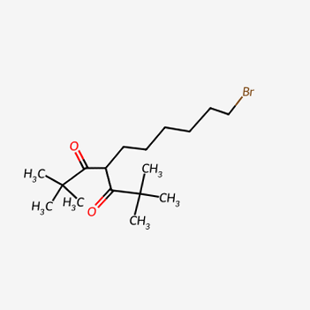 CC(C)(C)C(=O)C(CCCCCCBr)C(=O)C(C)(C)C